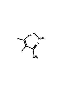 CCCC(C)=C(C)C(N)=O.CNC